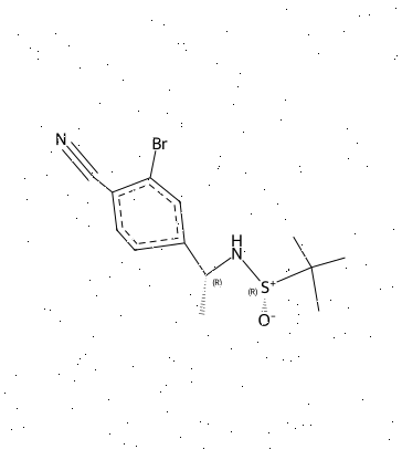 C[C@@H](N[S@@+]([O-])C(C)(C)C)c1ccc(C#N)c(Br)c1